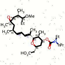 CCCN(CC)C(=O)O[C@@H]1C[C@H](CC(=O)O)O[C@H](/C(C)=C/C=C/[C@@H](C)C[C@@]2(C)O[C@@H]2[C@H](C)[C@H](CC)OC)[C@H]1C